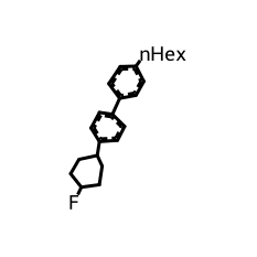 CCCCCCc1ccc(-c2ccc(C3CCC(F)CC3)cc2)cc1